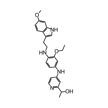 CCOc1cc(Nc2ccnc(C(C)O)c2)ccc1NCCc1c[nH]c2cc(OC)ccc12